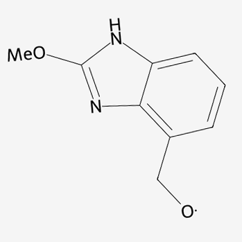 COc1nc2c(C[O])cccc2[nH]1